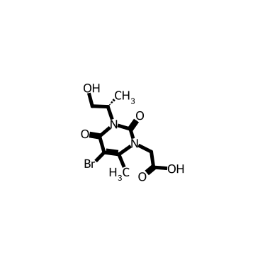 Cc1c(Br)c(=O)n([C@@H](C)CO)c(=O)n1CC(=O)O